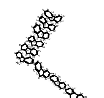 OC1c2ccccc2-c2ccccc21.c1ccc2c(c1)Cc1ccccc1-2.c1ccc2c(c1)Cc1ccccc1-2.c1ccc2c(c1)Cc1ccccc1-2.c1ccc2c(c1)Cc1ccccc1-2.c1ccc2c(c1)Cc1ccccc1-2.c1ccc2c(c1)Cc1ccccc1-2.c1ccc2c(c1)Cc1ccccc1-2.c1ccc2c(c1)Cc1ccccc1-2